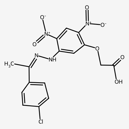 C/C(=N/Nc1cc(OCC(=O)O)c([N+](=O)[O-])cc1[N+](=O)[O-])c1ccc(Cl)cc1